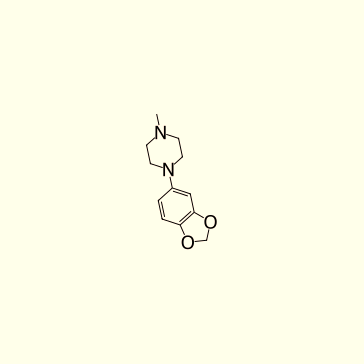 CN1CCN(c2ccc3c(c2)OCO3)CC1